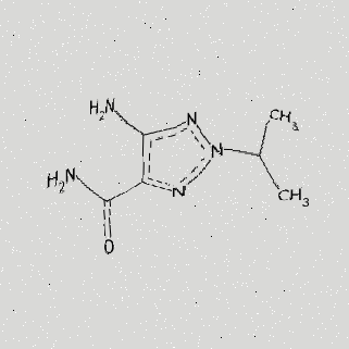 CC(C)n1nc(N)c(C(N)=O)n1